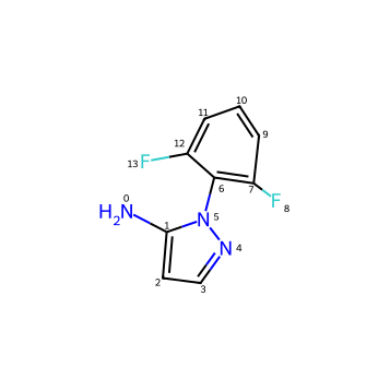 Nc1ccnn1-c1c(F)cccc1F